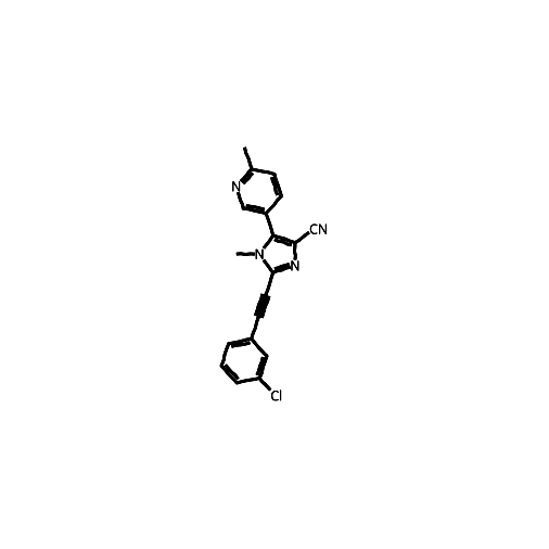 Cc1ccc(-c2c(C#N)nc(C#Cc3cccc(Cl)c3)n2C)cn1